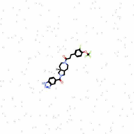 O=C(CCc1ccc(OC(F)(F)F)c(F)c1)N1CCC2CN(C(=O)c3ccc4[nH]nnc4c3)C[C@@H]2CC1